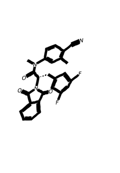 Cc1cc(N(C)C(=O)[C@H](Cc2cc(F)cc(F)c2)N2C(=O)c3ccccc3C2=O)ccc1C#N